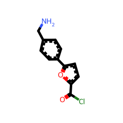 NCc1ccc(-c2ccc(C(=O)Cl)o2)cc1